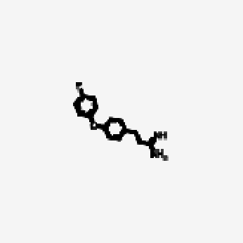 N=C(N)CCc1ccc(Oc2ccc(F)cc2)cc1